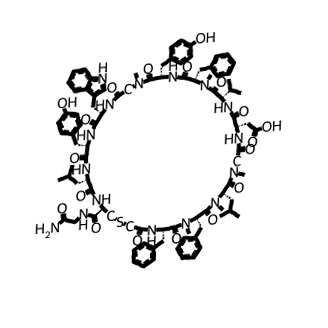 CC(C)C[C@@H]1NC(=O)[C@H](Cc2ccc(O)cc2)NC(=O)[C@H](Cc2c[nH]c3ccccc23)NC(=O)CN(C)C(=O)[C@H](Cc2ccc(O)cc2)NC(=O)[C@H](Cc2ccccc2)N(C)C(=O)[C@H](C(C)C)NC(=O)[C@H](CC(=O)O)NC(=O)CN(C)C(=O)[C@H](CC(C)C)N(C)C(=O)[C@H](Cc2ccccc2)N(C)C(=O)[C@H](Cc2ccccc2)NC(=O)CSC[C@@H](C(=O)NCC(N)=O)NC1=O